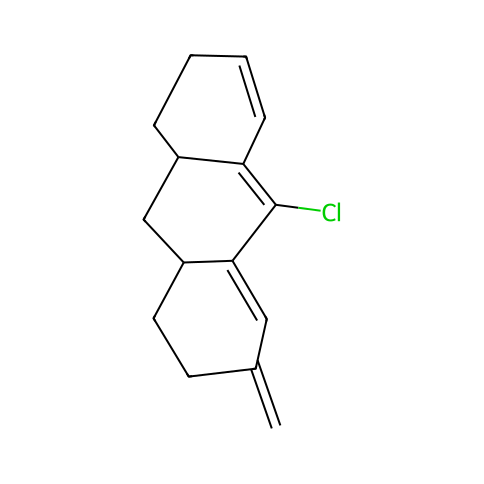 C=C1C=C2C(Cl)=C3C=CCCC3CC2CC1